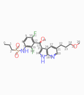 CCCS(=O)(=O)Nc1ccc(F)c(C(=O)c2c[nH]c3ncc(CCCOC)cc23)c1F